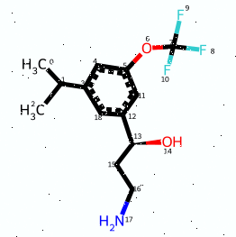 CC(C)c1cc(OC(F)(F)F)cc([C@@H](O)CCN)c1